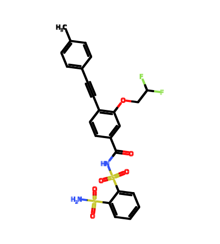 Cc1ccc(C#Cc2ccc(C(=O)NS(=O)(=O)c3ccccc3S(N)(=O)=O)cc2OCC(F)F)cc1